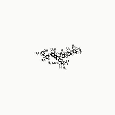 CCC(=O)O[C@H](C)[C@H](O)C(=O)[C@@H](OC)[C@@H]1Cc2cc3cc(O[C@H]4C[C@@H](O[C@H]5C[C@@H](O)CC(C)O5)[C@@H](C)C(C)O4)c(C)c(O)c3c(O)c2C(=O)[C@H]1O[C@H]1C[C@@H](O[C@H]2C[C@@H](O[C@H]3CC(C)(O)[C@@H](C)C(C)O3)[C@H](O)C(C)O2)[C@H](O)C(C)O1